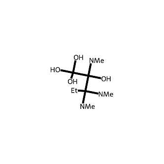 CCC(NC)(NC)C(O)(NC)C(O)(O)O